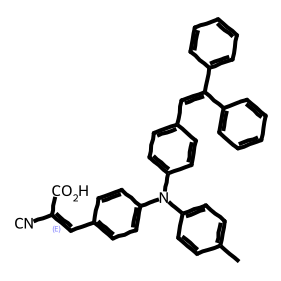 [C-]#[N+]/C(=C/c1ccc(N(c2ccc(C)cc2)c2ccc(C=C(c3ccccc3)c3ccccc3)cc2)cc1)C(=O)O